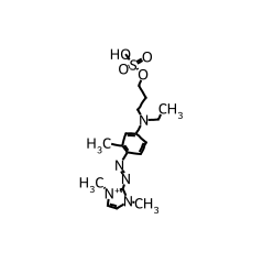 CCN(CCCOS(=O)(=O)O)c1ccc(N=Nc2n(C)cc[n+]2C)c(C)c1